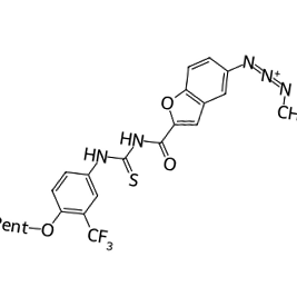 CCCCCOc1ccc(NC(=S)NC(=O)c2cc3cc(N=[N+]=NC)ccc3o2)cc1C(F)(F)F